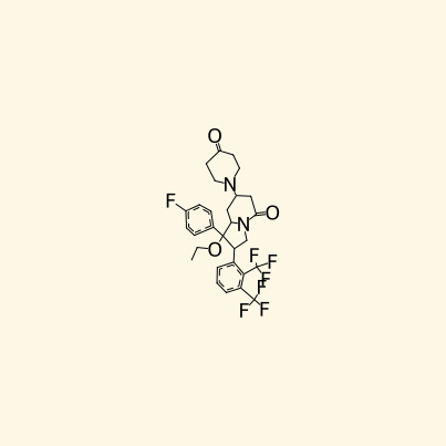 CCOC1(c2ccc(F)cc2)C(c2cccc(C(F)(F)F)c2C(F)(F)F)CN2C(=O)CC(N3CCC(=O)CC3)CC21